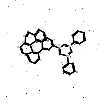 c1ccc(-[n+]2c[n+](-c3ccccc3)c[n+](-c3cccc(-c4cccc5ccc6ccc7ccccc7c6c45)c3)c2)cc1